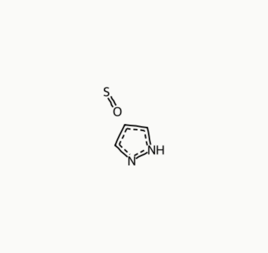 O=S.c1cn[nH]c1